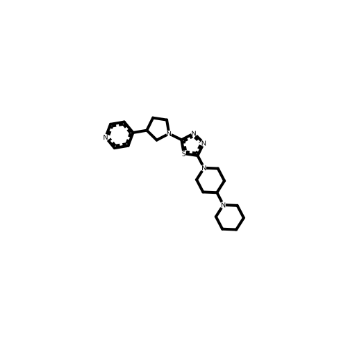 c1cc(C2CCN(c3nnc(N4CCC(N5CCCCC5)CC4)s3)C2)ccn1